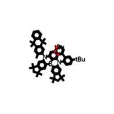 Cc1cc2c(cc1N1c3cc4c(cc3B3c5cc6c(cc5N(c5ccc(C(C)(C)C)cc5-c5ccccc5)c5cc(C(C)(C)C)cc1c53)C(C)(C)CC6(C)C)C(C)(C)CC4(C)C)C(C)(C)c1ccccc1C2(C)C